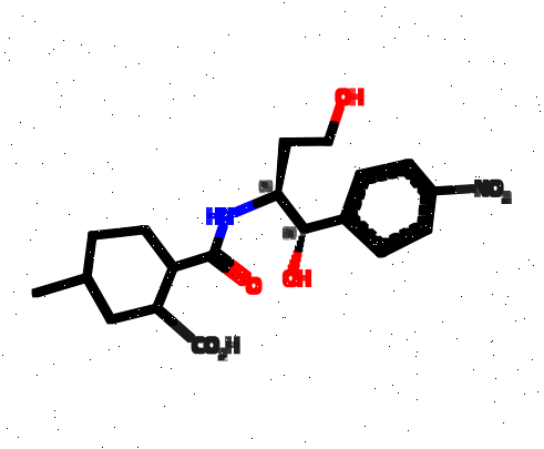 CC1CCC(C(=O)N[C@@H](CCO)[C@@H](O)c2ccc([N+](=O)[O-])cc2)C(C(=O)O)C1